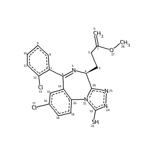 C=C(CC[C@@H]1N=C(c2ccccc2Cl)c2cc(Cl)ccc2-n2c(S)nnc21)OC